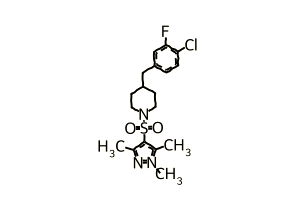 Cc1nn(C)c(C)c1S(=O)(=O)N1CCC(Cc2ccc(Cl)c(F)c2)CC1